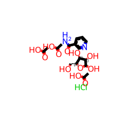 CC(=O)O.CC(=O)O.CC(=O)O.Cl.NC(=O)c1cccnc1.OC[C@H]1OC(O)[C@H](O)[C@@H]1O